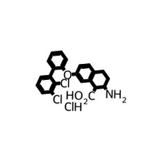 Cl.NC1CCc2ccc(Oc3ccccc3-c3cccc(Cl)c3Cl)cc2C1C(=O)O